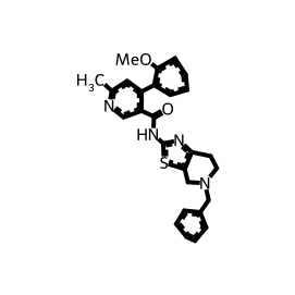 COc1ccccc1-c1cc(C)ncc1C(=O)Nc1nc2c(s1)CN(Cc1ccccc1)CC2